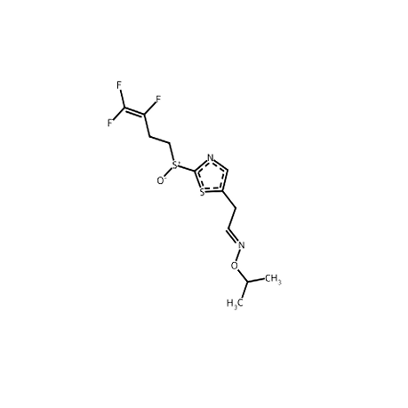 CC(C)O/N=C/Cc1cnc([S+]([O-])CCC(F)=C(F)F)s1